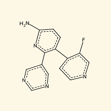 Nc1ccc(-c2ccncc2F)c(-c2cncnc2)n1